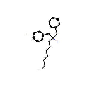 Br.CCCCCCCCCCCCCCCCC(N)(Cc1ccccc1)Cc1ccccc1